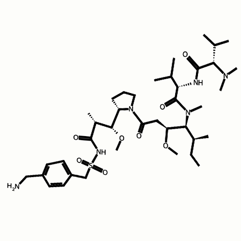 CC[C@H](C)[C@@H]([C@H](CC(=O)N1CCC[C@H]1[C@H](OC)[C@@H](C)C(=O)NS(=O)(=O)Cc1ccc(CN)cc1)OC)N(C)C(=O)[C@@H](NC(=O)[C@H](C(C)C)N(C)C)C(C)C